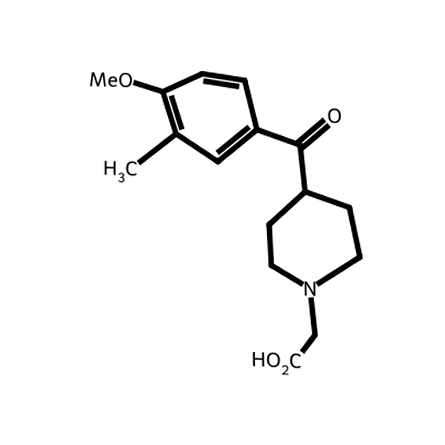 COc1ccc(C(=O)C2CCN(CC(=O)O)CC2)cc1C